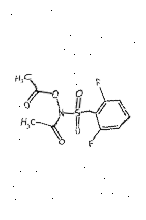 CC(=O)ON(C(C)=O)S(=O)(=O)c1c(F)cccc1F